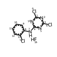 Clc1nc(Cl)nc(Nc2ccccc2Cl)n1.F